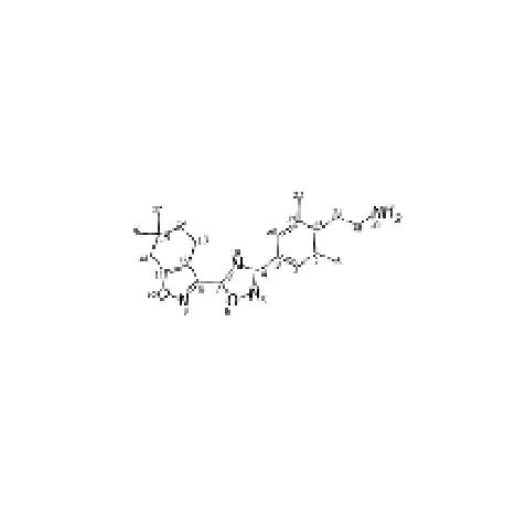 Cc1cc(-c2noc(-c3noc4c3CCC(C)(C)C4)n2)cc(C)c1CCN